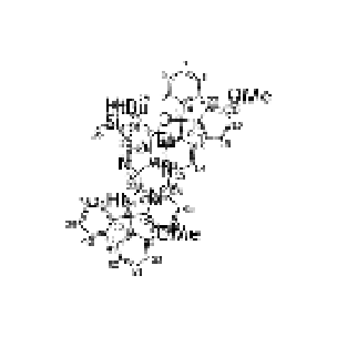 CCC(OC(c1ccccc1)(c1ccccc1)c1cccc(OC)c1)(C(O[SiH](C)C)C(C)(C)C)n1cnc2c(NC(c3ccccc3)(c3ccccc3)c3ccccc3OC)ncnc21